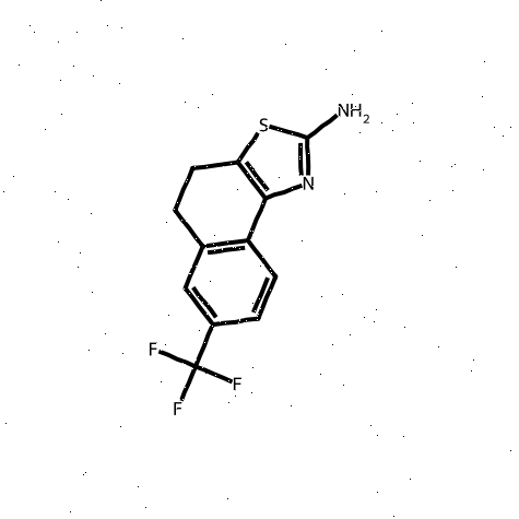 Nc1nc2c(s1)CCc1cc(C(F)(F)F)ccc1-2